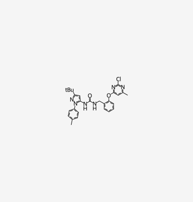 Cc1ccc(-n2nc(C(C)(C)C)cc2NC(=O)NCc2ccccc2Oc2cc(C)nc(Cl)n2)cc1